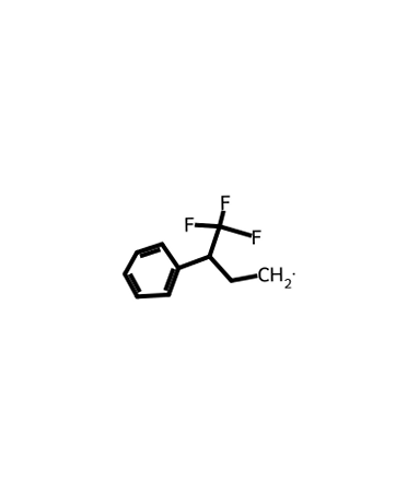 [CH2]CC(c1ccccc1)C(F)(F)F